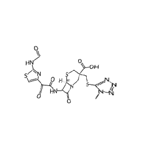 Cn1nnnc1SCC1(C(=O)O)CS[C@@H]2C(NC(=O)C(=O)c3csc(NC=O)n3)C(=O)N2C1